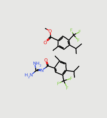 COC(=O)c1cc(C(F)(F)F)c(C(C)C)cc1C.Cc1cc(C(C)C)c(C(F)(F)F)cc1C(=O)N=C(N)N